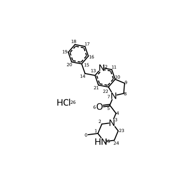 CC1CN(CC(=O)N2CCc3cnc(Cc4ccccc4)cc32)CCN1.Cl